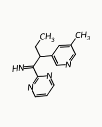 CCC(C(=N)c1ncccn1)c1cncc(C)c1